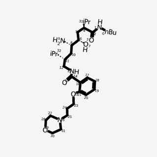 CCCCNC(=O)[C@@H](C[C@H](O)[C@@H](N)C[C@H](CNC(=O)c1ccccc1OCCCN1CCOCC1)C(C)C)C(C)C